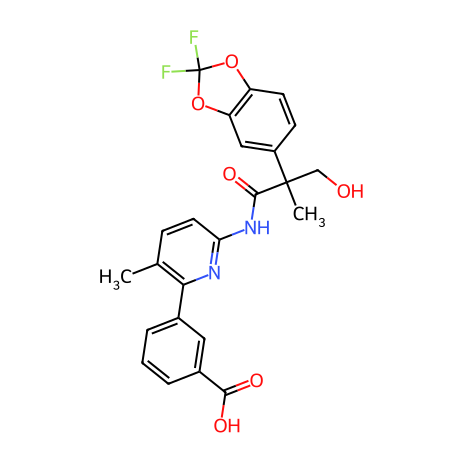 Cc1ccc(NC(=O)C(C)(CO)c2ccc3c(c2)OC(F)(F)O3)nc1-c1cccc(C(=O)O)c1